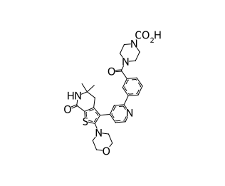 CC1(C)Cc2c(sc(N3CCOCC3)c2-c2ccnc(-c3cccc(C(=O)N4CCN(C(=O)O)CC4)c3)c2)C(=O)N1